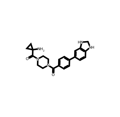 NC1(C(=O)N2CCN(C(=O)c3ccc(-c4ccc5c(c4)NCN5)cc3)CC2)CC1